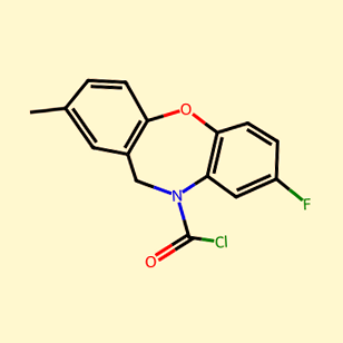 Cc1ccc2c(c1)CN(C(=O)Cl)c1cc(F)ccc1O2